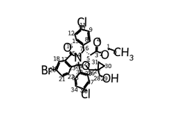 CCOC(=O)C[C@@H](c1ccc(Cl)cc1)N1C(=O)c2cc(Br)ccc2C1(OCC1(CO)CC1)c1ccc(Cl)cc1